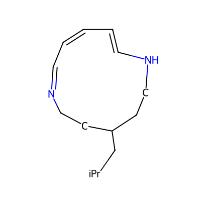 CC(C)CC1CC\N=C/C=C\C=C\NCC1